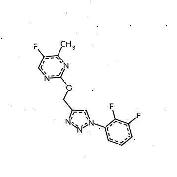 Cc1nc(OCc2cn(-c3cccc(F)c3F)nn2)ncc1F